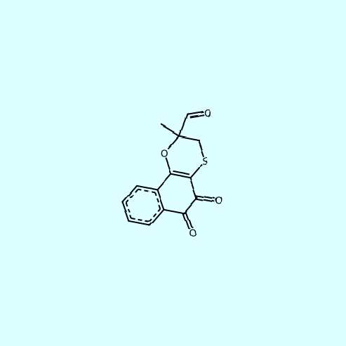 CC1(C=O)CSC2=C(O1)c1ccccc1C(=O)C2=O